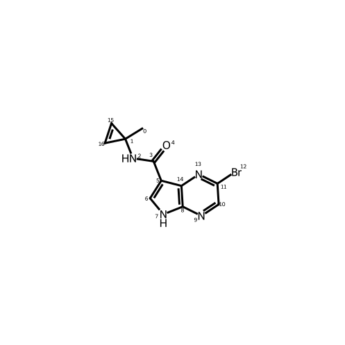 CC1(NC(=O)c2c[nH]c3ncc(Br)nc23)C=C1